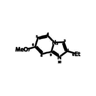 CCc1cn2ccc(OC)cc2n1